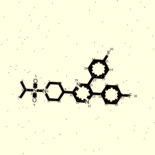 CC(C)S(=O)(=O)N1CCC(c2cnc(-c3ccc(F)cc3)c(-c3ccc(F)cc3)n2)CC1